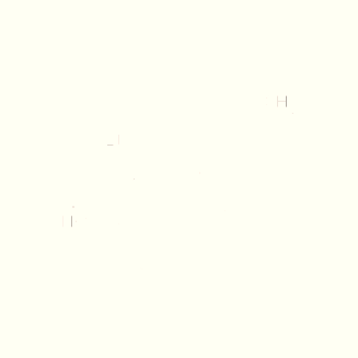 C=CCc1cccc(O)c1CC